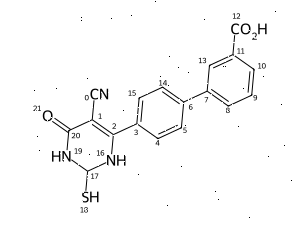 N#CC1=C(c2ccc(-c3cccc(C(=O)O)c3)cc2)NC(S)NC1=O